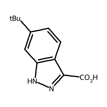 CC(C)(C)c1ccc2c(C(=O)O)n[nH]c2c1